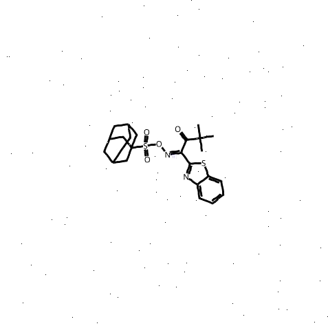 CC(C)(C)C(=O)/C(=N\OS(=O)(=O)C12CC3CC(CC(C3)C1)C2)c1nc2ccccc2s1